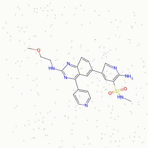 CNS(=O)(=O)c1cc(-c2ccc3nc(NCCOC)nc(-c4ccncc4)c3c2)cnc1N